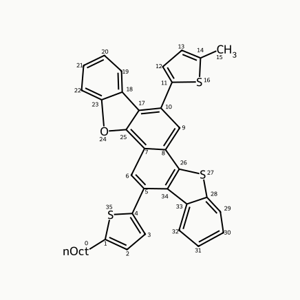 CCCCCCCCc1ccc(-c2cc3c(cc(-c4ccc(C)s4)c4c5ccccc5oc34)c3sc4ccccc4c23)s1